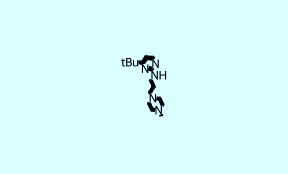 CN1CCN(CCCNc2nccc(C(C)(C)C)n2)CC1